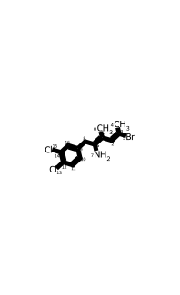 CC(/C=C(\C)Br)=C(/N)Cc1ccc(Cl)c(Cl)c1